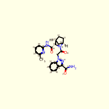 NC(=O)c1nn(CC(=O)N2[C@@H]3CC[C@@H](C3)[C@H]2C(=O)Nc2cccc(C(F)(F)F)n2)c2ccccc12